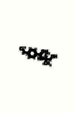 CC(C)(CO)NC(=O)c1ccc(CCl)cc1